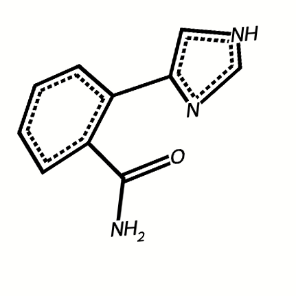 NC(=O)c1ccccc1-c1c[nH]cn1